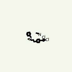 CC#N.CN(CCCc1ccc(C2CC(Cl)C2Cl)cc1)Cc1ccccc1